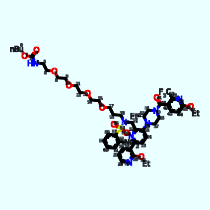 CCCCOC(=O)NCCOCCOCCOCCOCCCN(Cc1nc(-c2cccnc2OCC)ccc1N1CCN(C(=O)c2ccc(OCC)nc2C(F)(F)F)C[C@H]1CC)S(=O)(=O)c1ccccc1[N+](=O)[O-]